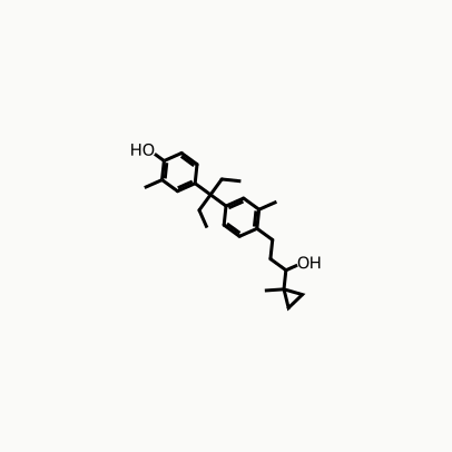 CCC(CC)(c1ccc(O)c(C)c1)c1ccc(CCC(O)C2(C)CC2)c(C)c1